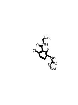 CC(C)(C)OC(=O)Nc1ccc(Cl)c(C(=O)NCC(F)(F)F)c1F